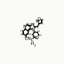 C[C@H]1C[C@H](n2c(Cc3ccon3)nc3cnc4ccc(C#N)cc4c32)CCO1